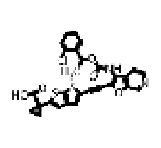 CC(OC(=O)Nc1c(C#Cc2cc3cc(C4(C(=O)O)CC4)sc3s2)oc2cnccc12)c1ccccc1Cl